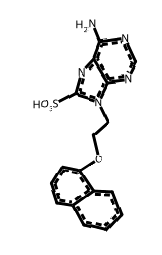 Nc1ncnc2c1nc(S(=O)(=O)O)n2CCOc1cccc2ccccc12